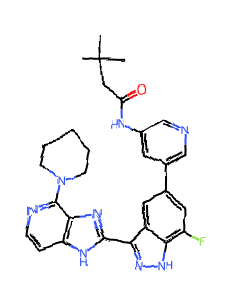 CC(C)(C)CC(=O)Nc1cncc(-c2cc(F)c3[nH]nc(-c4nc5c(N6CCCCC6)nccc5[nH]4)c3c2)c1